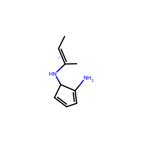 C/C=C(\C)NC1C=CC=C1N